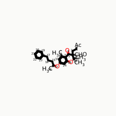 CC(=O)CCC1(C=O)C(=O)c2c(C)cc(OC(C)CCCc3ccccc3)cc2OC1(C)C